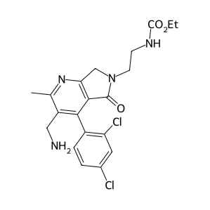 CCOC(=O)NCCN1Cc2nc(C)c(CN)c(-c3ccc(Cl)cc3Cl)c2C1=O